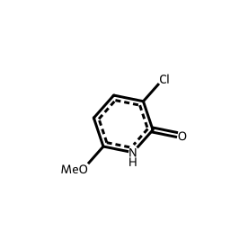 COc1ccc(Cl)c(=O)[nH]1